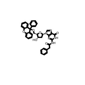 O=C(Cc1ccccc1)Nc1nc2c(ncn2[C@H]2C[C@H](O)[C@@H](COC3(c4ccccc4)c4ccccc4Oc4ccccc43)O2)c(=O)[nH]1